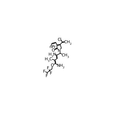 C=C(Cl)C1=C(/C=C\CCC)C(=O)N(C(C)/C(N)=C/C(C)=C(\N)OCC(F)(F)C(F)F)C1